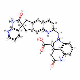 O=C(O)CC12CC(=O)Nc3cccc(c31)N(Cc1ccc3cc4c(cc3n1)C[C@]1(C4)C(=O)Nc3ncccc31)C2